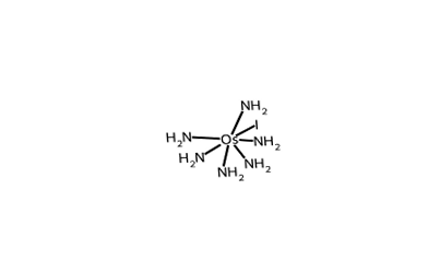 [NH2][Os]([NH2])([NH2])([NH2])([NH2])([NH2])[I]